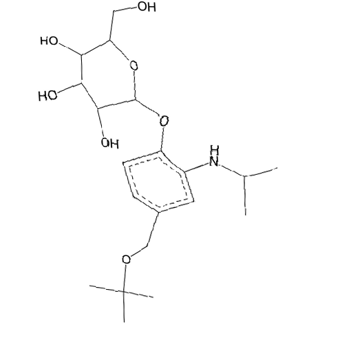 CC(C)Nc1cc(COC(C)(C)C)ccc1OC1OC(CO)C(O)C(O)C1O